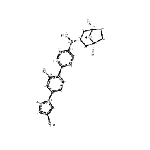 Cc1cn(-c2ccc(-c3ccc(N(C)[C@@H]4C[C@H]5CC[C@@H](C4)N5)nn3)c(O)c2)nn1